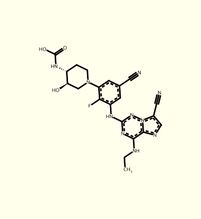 CCNc1nc(Nc2cc(C#N)cc(N3CC[C@@H](NC(=O)O)[C@H](O)C3)c2F)nn2c(C#N)cnc12